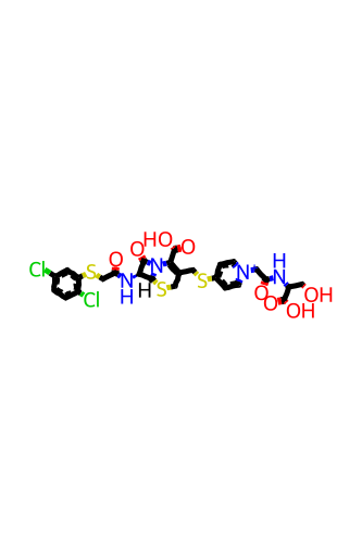 O=C(C[n+]1ccc(SCC2=C(C(=O)O)N3C(=O)[C@H](NC(=O)CSc4cc(Cl)ccc4Cl)[C@H]3SC2)cc1)NC(CO)C(=O)O